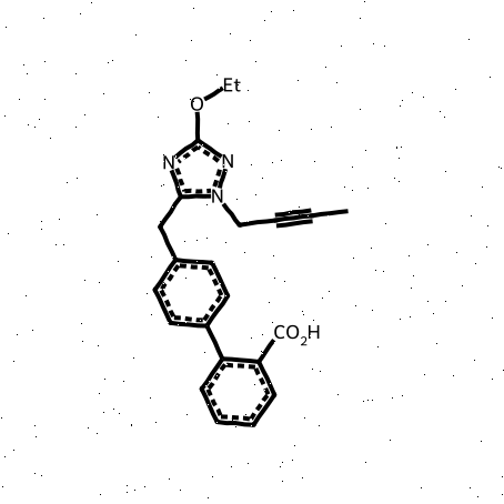 CC#CCn1nc(OCC)nc1Cc1ccc(-c2ccccc2C(=O)O)cc1